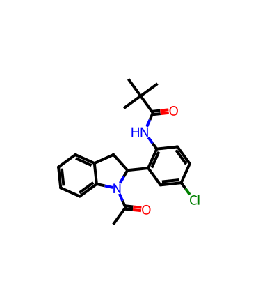 CC(=O)N1c2ccccc2CC1c1cc(Cl)ccc1NC(=O)C(C)(C)C